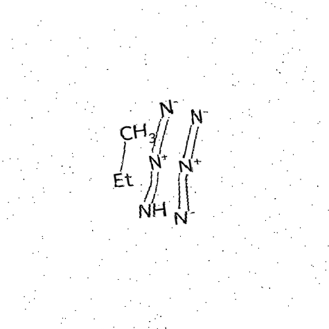 CCC.[N-]=[N+]=N.[N-]=[N+]=[N-]